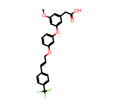 COc1cc(CC(=O)O)cc(Oc2cccc(OC/C=C/c3ccc(C(F)(F)F)cc3)c2)c1